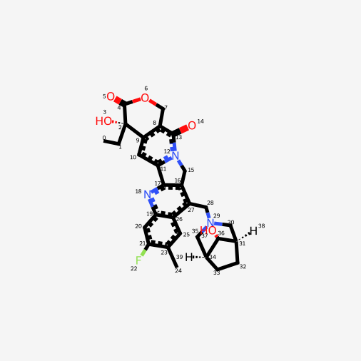 CC[C@@]1(O)C(=O)OCc2c1cc1n(c2=O)Cc2c-1nc1cc(F)c(C)cc1c2CN1C[C@H]2CC[C@@H](C1)C2O